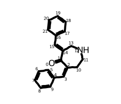 O=C1C(=Cc2ccccc2)CCNCC1=Cc1ccccc1